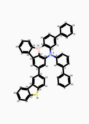 c1ccc(-c2cccc(N3c4cc(-c5ccccc5)ccc4B4c5ccccc5-c5cc(-c6ccc7sc8ccccc8c7c6)cc3c54)c2)cc1